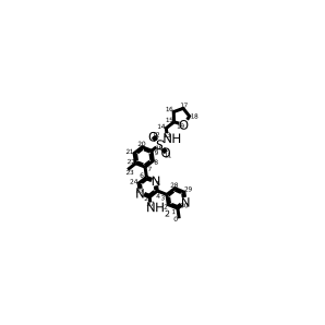 Cc1cc(-c2nc(-c3cc(S(=O)(=O)NCC4CCCO4)ccc3C)cnc2N)ccn1